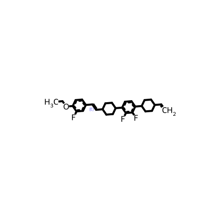 C=CC1CCC(c2ccc(C3CCC(/C=C/c4ccc(OCC)c(F)c4)CC3)c(F)c2F)CC1